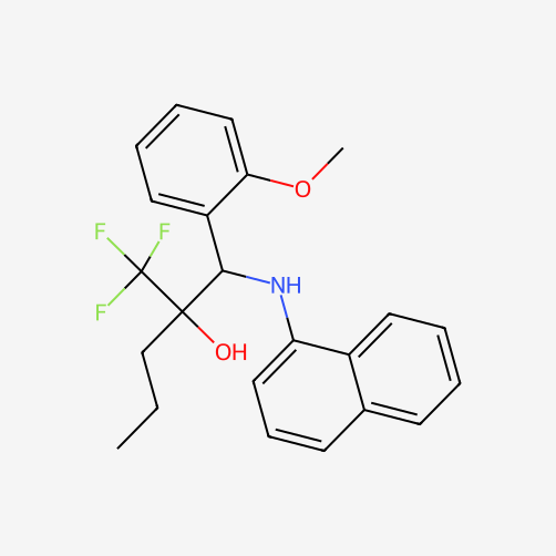 CCCC(O)(C(Nc1cccc2ccccc12)c1ccccc1OC)C(F)(F)F